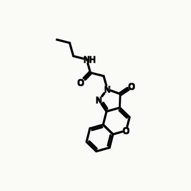 CCCNC(=O)Cn1nc2c3ccccc3occ-2c1=O